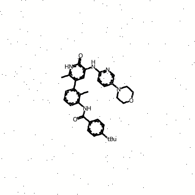 Cc1[nH]c(=O)c(Nc2ccc(N3CCOCC3)cn2)cc1-c1cccc(NC(=O)c2ccc(C(C)(C)C)cc2)c1C